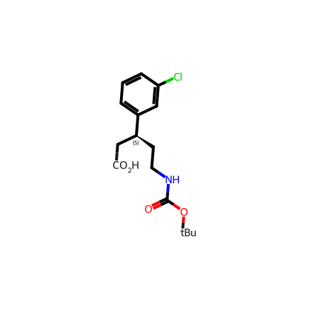 CC(C)(C)OC(=O)NCC[C@@H](CC(=O)O)c1cccc(Cl)c1